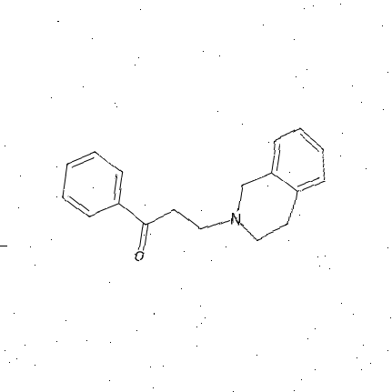 O=C(CCN1CCc2ccccc2C1)c1ccccc1